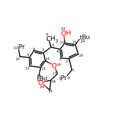 CC(C)Cc1cc(C(C)c2cc(CC(C)C)cc(C(C)(C)C)c2OCC2CO2)c(O)c(C(C)(C)C)c1